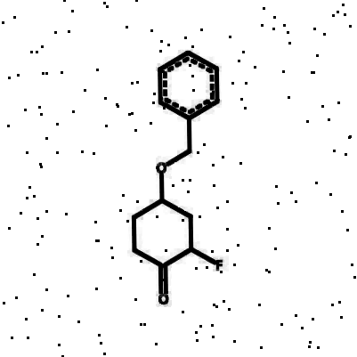 O=C1CCC(OCc2ccccc2)CC1F